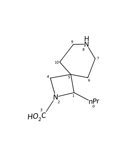 CCCC1N(C(=O)O)CC12CCNCC2